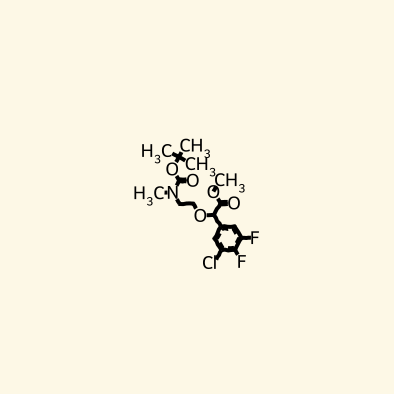 COC(=O)C(OCCN(C)C(=O)OC(C)(C)C)c1cc(F)c(F)c(Cl)c1